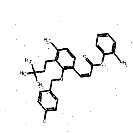 Cc1ccc(/C=C\C(=O)Nc2ccccc2N)c(OCc2ccc(Cl)cc2)c1CCC(C)(C)O